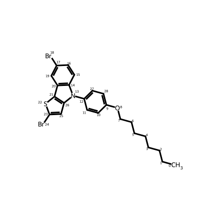 CCCCCCCCOc1ccc(-n2c3ccc(Br)cc3c3sc(Br)cc32)cc1